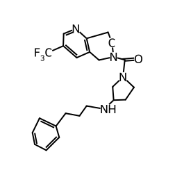 O=C(N1CCc2ncc(C(F)(F)F)cc2C1)N1CCC(NCCCc2ccccc2)C1